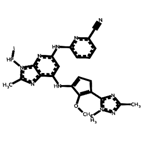 COC1=C(c2nc(C)nn2C)CC=C1Nc1cc(Nc2cccc(C#N)n2)nc2c1nc(C)n2PI